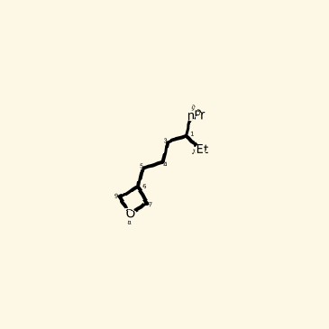 CCCC(CC)CCCC1COC1